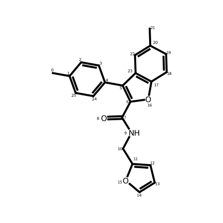 Cc1ccc(-c2c(C(=O)NCc3ccco3)oc3ccc(C)cc23)cc1